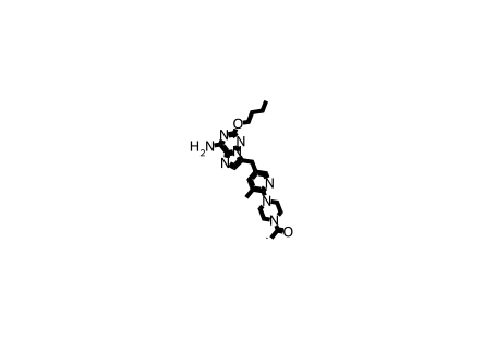 [CH2]C(=O)N1CCN(c2ncc(Cc3cnc4c(N)nc(OCCCC)nn34)cc2C)CC1